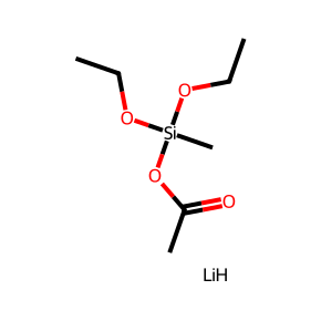 CCO[Si](C)(OCC)OC(C)=O.[LiH]